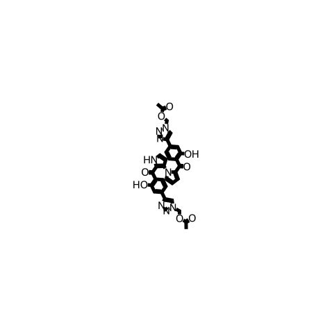 CC(=O)OCn1cc(-c2ccc(C(=O)c3[nH]ccc3-n3cccc3C(=O)c3ccc(-c4cn(COC(C)=O)nn4)cc3O)c(O)c2)nn1